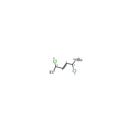 CCCCC(Cl)C=CC(Cl)CC